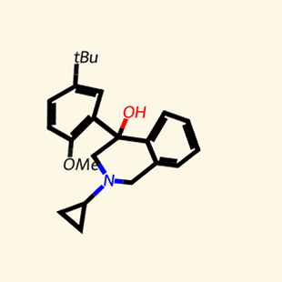 COc1ccc(C(C)(C)C)cc1C1(O)CN(C2CC2)Cc2ccccc21